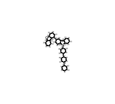 c1ccc(-c2ccc(-c3ccc(-n4c5ccccc5c5cc(-c6cccc7oc8ccccc8c67)ccc54)cc3)cc2)cc1